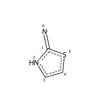 [N]=c1[nH]ccs1